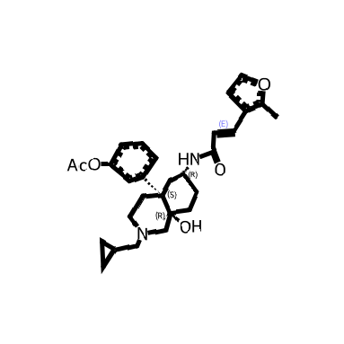 CC(=O)Oc1cccc([C@@]23CCN(CC4CC4)C[C@@]2(O)CC[C@@H](NC(=O)/C=C/c2ccoc2C)C3)c1